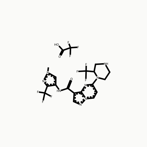 Cn1cc(NC(=O)c2cnn3ccc(N4CCNCC4C(F)(F)F)nc23)c(C(F)(F)F)n1.O=C(O)C(F)(F)F